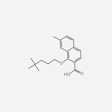 Cc1ccc2ccc(C(=O)O)c(OCCCC(C)(C)C)c2c1